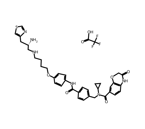 N[C@H](CNCCCCOc1ccc(NC(=O)c2ccc(CN(C(=O)c3ccc4c(c3)OCC(=O)N4)C3CC3)cc2)cc1)Cc1cscn1.O=C(O)C(F)(F)F